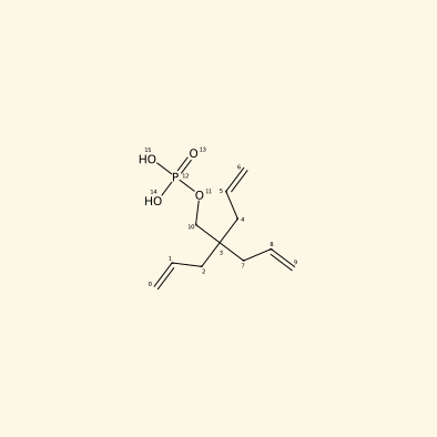 C=CCC(CC=C)(CC=C)COP(=O)(O)O